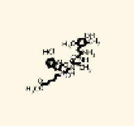 COC(=O)CCCCCN(C(=O)CNC(=O)[C@@H](C)NC(=O)[C@@H](N)Cc1cc(C)c(O)cc1C)[C@@H](Cc1ccccc1)C(N)=O.Cl